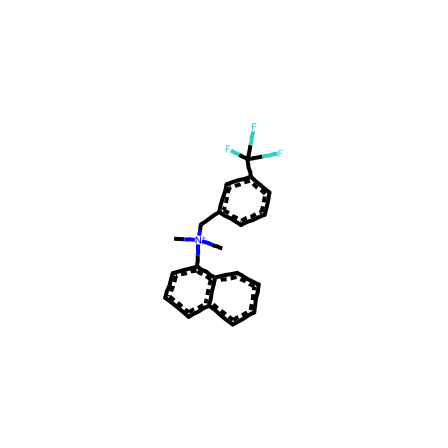 C[N+](C)(Cc1cccc(C(F)(F)F)c1)c1cccc2ccccc12